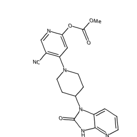 COC(=O)Oc1cc(N2CCC(n3c(=O)[nH]c4ncccc43)CC2)c(C#N)cn1